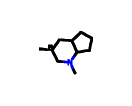 C[C@H]1CC2CCCC2N(C)C1